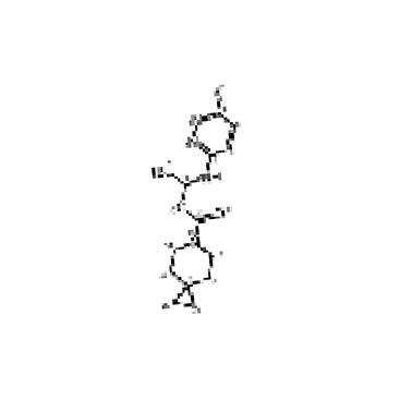 CC(C)(C)C(Nc1ccc(Cl)nn1)OC(=O)N1CCC2(CC1)CC2